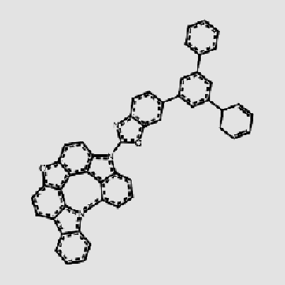 C1=CCC(c2cc(-c3ccccc3)cc(-c3ccc4nc(-n5c6ccc7oc8ccc9c%10ccccc%10n%10c%11cccc5c%11c6c7c8c9%10)oc4c3)c2)C=C1